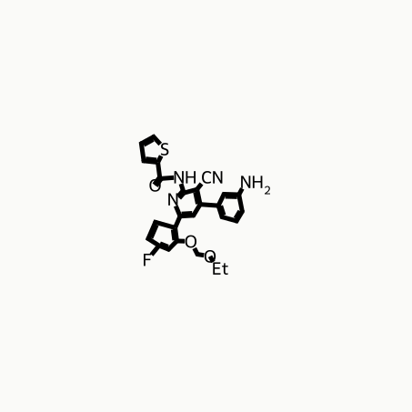 CCOCOc1cc(F)ccc1-c1cc(-c2cccc(N)c2)c(C#N)c(NC(=O)c2cccs2)n1